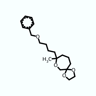 CC1(CCCCOCc2ccccc2)CCCC2(CO1)OCCO2